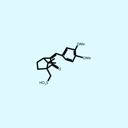 COc1ccc(C=C2C(=O)C3(CS(=O)(=O)O)CCC2C3(C)C)cc1OC